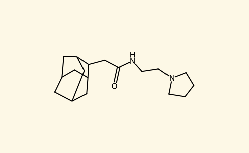 O=C(CC1C2CC3CC(C2)CC1C3)NCCN1CCCC1